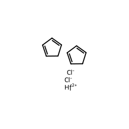 C1=CCC=C1.C1=CCC=C1.[Cl-].[Cl-].[Hf+2]